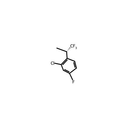 C[C@@H](c1ccc(F)cc1Cl)C(F)(F)F